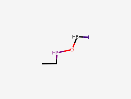 CCPOBI